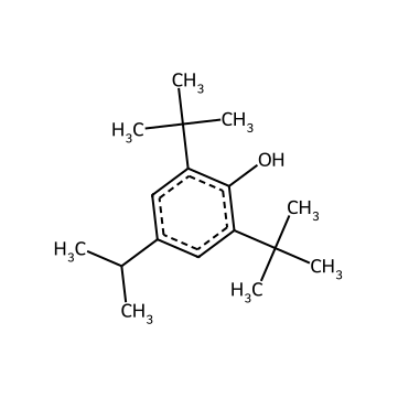 CC(C)c1cc(C(C)(C)C)c(O)c(C(C)(C)C)c1